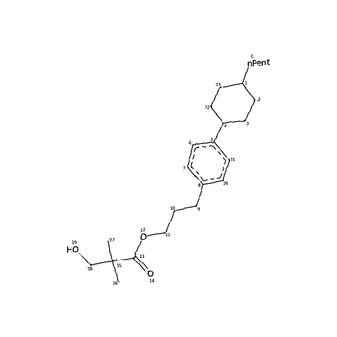 CCCCCC1CCC(c2ccc(CCCOC(=O)C(C)(C)CO)cc2)CC1